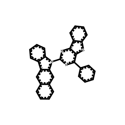 c1ccc(-c2nc(-n3c4ccccc4c4cc5ccccc5cc43)nc3c2sc2ccccc23)cc1